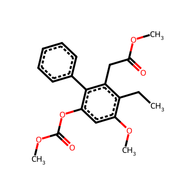 CCc1c(OC)cc(OC(=O)OC)c(-c2ccccc2)c1CC(=O)OC